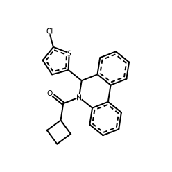 O=C(C1CCC1)N1c2ccccc2-c2ccccc2C1c1ccc(Cl)s1